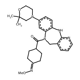 CON=C1CCC(C(=O)N2Cc3cccnc3Nc3ccc(N4CCOC(C)(C)C4)cc32)CC1